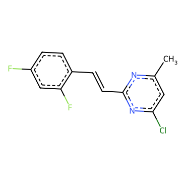 Cc1cc(Cl)nc(C=Cc2ccc(F)cc2F)n1